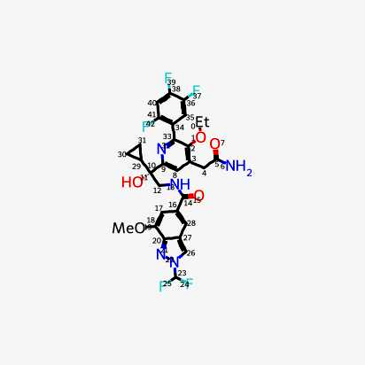 CCOc1c(CC(N)=O)cc([C@@](O)(CNC(=O)c2cc(OC)c3nn(C(F)F)cc3c2)C2CC2)nc1-c1cc(F)c(F)cc1F